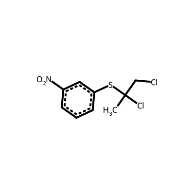 CC(Cl)(CCl)Sc1cccc([N+](=O)[O-])c1